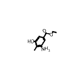 CCOC(=O)c1cc(N)c(C)c(O)c1